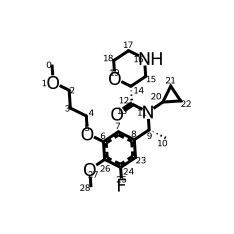 COCCCOc1cc([C@@H](C)N(C(=O)[C@H]2CNCCO2)C2CC2)cc(F)c1OC